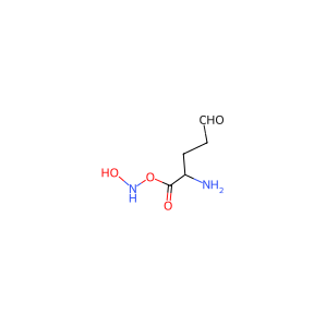 NC(CCC=O)C(=O)ONO